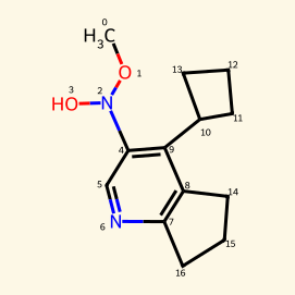 CON(O)c1cnc2c(c1C1CCC1)CCC2